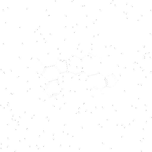 CCCCc1nc2c(N)nc3ccccc3c2n1CCCCc1ccsc1S(N)(=O)=O